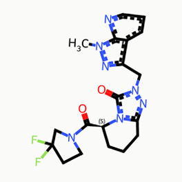 Cn1nc(Cn2nc3n(c2=O)[C@H](C(=O)N2CCC(F)(F)C2)CCC3)c2cccnc21